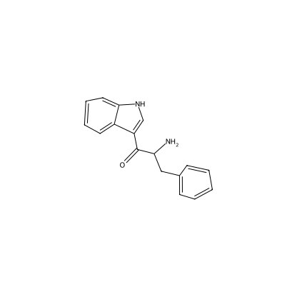 NC(Cc1ccccc1)C(=O)c1c[nH]c2ccccc12